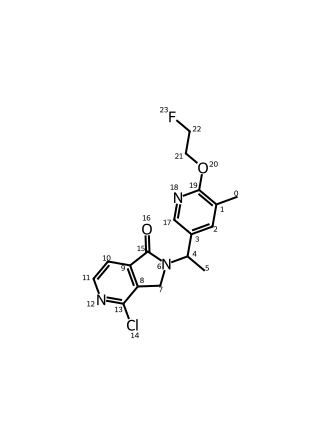 Cc1cc(C(C)N2Cc3c(ccnc3Cl)C2=O)cnc1OCCF